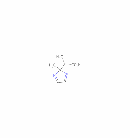 CC(C(=O)O)C1(C)N=CC=N1